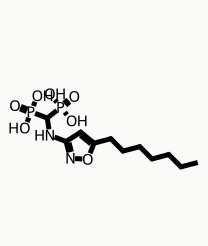 CCCCCCCc1cc(NC(P(=O)(O)O)P(=O)(O)O)no1